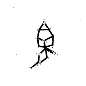 CCOC(=O)N1C2CC(CN)CC1C1OC12